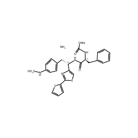 COC(=O)N[C@@H](Cc1ccccc1)C(=O)N[C@@H](Cc1ccc(NS(=O)(=O)O)cc1)c1csc(-c2cccs2)n1.N